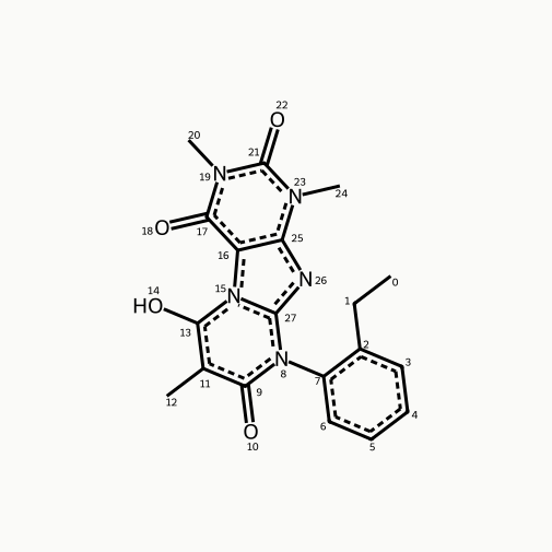 CCc1ccccc1-n1c(=O)c(C)c(O)n2c3c(=O)n(C)c(=O)n(C)c3nc12